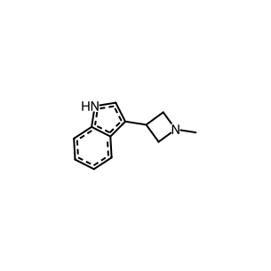 CN1CC(c2c[nH]c3ccccc23)C1